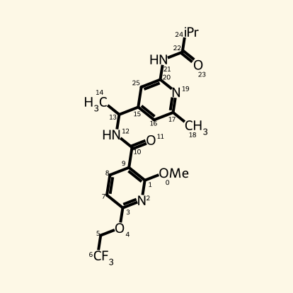 COc1nc(OCC(F)(F)F)ccc1C(=O)NC(C)c1cc(C)nc(NC(=O)C(C)C)c1